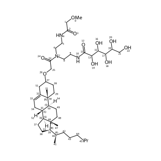 COCC(=O)NCCN(CCNC(=O)C(O)C(O)C(O)C(O)CO)C(=O)COC1CC[C@@]2(C)C(=CC[C@H]3[C@@H]4CC[C@H]([C@H](C)CCCC(C)C)[C@@]4(C)CC[C@@H]32)C1